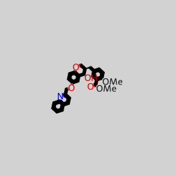 COC(=O)c1cc(C[C@@H]2COc3ccc(OCc4ccc5ccccc5n4)cc3[C@@H]2O)ccc1OC